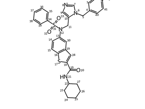 N#Cc1ccc(Cn2cncc2CN(c2ccc3sc(C(=O)NC4CCCCC4)cc3c2)S(=O)(=O)c2ccccc2)cc1